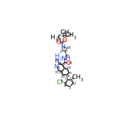 Cc1cccc(Cl)c1-c1ccc2c(C(=O)NCC3CN(C(=O)OC(C)(C)C)C3)c(N)ncc2c1